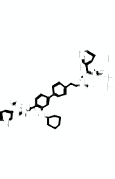 CC(C)(C)[Si](C)(C)O[C@@H](CN(CCc1ccc(-c2ccc(C(=O)NS(=O)(=O)c3cccnc3)c(OC3CCCCC3)c2)cc1)C(=O)O)c1cccnc1